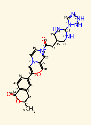 C[C@@H]1Cc2cc(C3=CN4C=C[N+](C(=O)CC5CNC(N6C=NNN6)NC5)=CC4=CO3)ccc2C(=O)O1